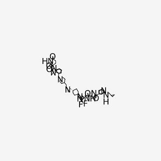 CN(CCC1CCN(Cc2cccc3c2n(C)c(=O)n3C2CCC(=O)NC2=O)CC1)C[C@H]1CC[C@H](n2cc(NC(=O)c3coc(-c4ccnc(NCC5CC5)c4)n3)c(C(F)F)n2)CC1